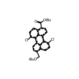 CC(C)COCc1ccc2c3c(Cl)ccc4c(C(=O)OCC(C)C)ccc(c5c(Cl)ccc1c25)c43